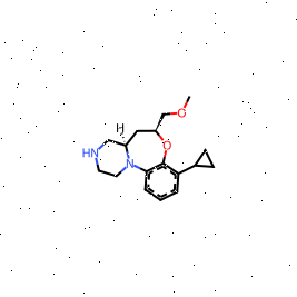 COC[C@@H]1C[C@@H]2CNCCN2c2cccc(C3CC3)c2O1